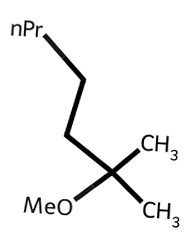 [CH2]CCCCC(C)(C)OC